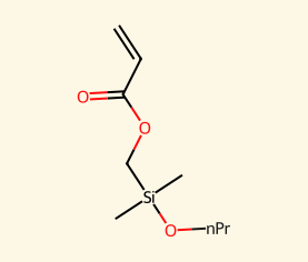 C=CC(=O)OC[Si](C)(C)OCCC